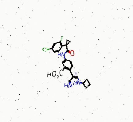 N=C/C(=C\NC1CCC1)c1ccc(NC(=O)C2(c3ccc(Cl)cc3F)CC2)cc1C(=O)O